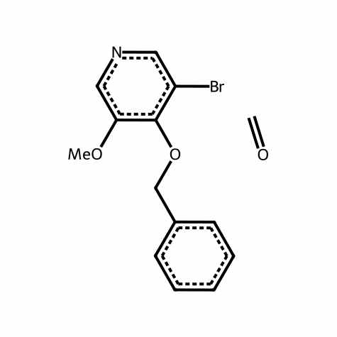 C=O.COc1cncc(Br)c1OCc1ccccc1